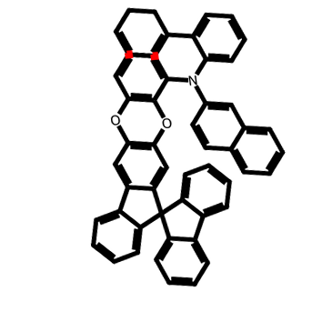 C1=CCCC(c2ccccc2N(c2ccc3ccccc3c2)c2cccc3c2Oc2cc4c(cc2O3)-c2ccccc2C42c3ccccc3-c3ccccc32)=C1